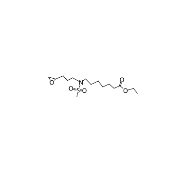 CCOC(=O)CCCCCCN(CCCC1CO1)S(C)(=O)=O